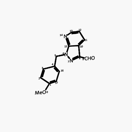 COc1ccc(Cn2nc(C=O)c3cccnc32)cc1